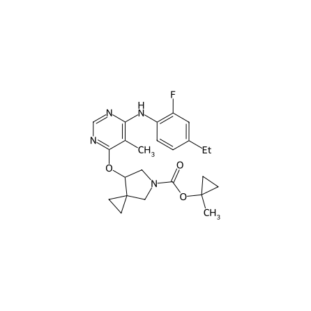 CCc1ccc(Nc2ncnc(OC3CN(C(=O)OC4(C)CC4)CC34CC4)c2C)c(F)c1